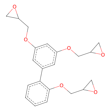 c1ccc(-c2cc(OCC3CO3)cc(OCC3CO3)c2)c(OCC2CO2)c1